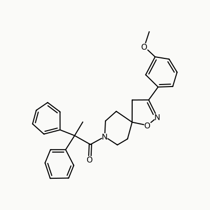 COc1cccc(C2=NOC3(CCN(C(=O)C(C)(c4ccccc4)c4ccccc4)CC3)C2)c1